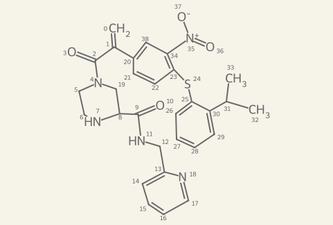 C=C(C(=O)N1CCNC(C(=O)NCc2ccccn2)C1)c1ccc(Sc2ccccc2C(C)C)c([N+](=O)[O-])c1